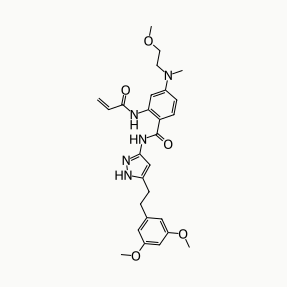 C=CC(=O)Nc1cc(N(C)CCOC)ccc1C(=O)Nc1cc(CCc2cc(OC)cc(OC)c2)[nH]n1